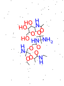 CCNC(=O)C(C)OCC(COCC)(COCC(=O)NC(C)(N)C(C)(C)OC1OC(CO)C(O)C(O)C1NC(C)=O)NC